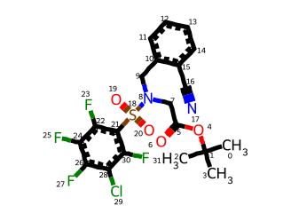 CC(C)(C)OC(=O)CN(Cc1ccccc1C#N)S(=O)(=O)c1c(F)c(F)c(F)c(Cl)c1F